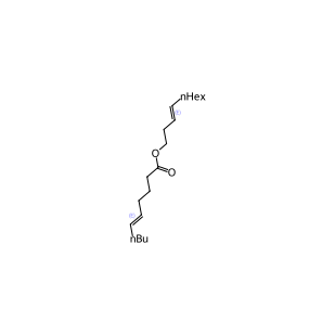 CCCC/C=C/CCCC(=O)OCC/C=C/CCCCCC